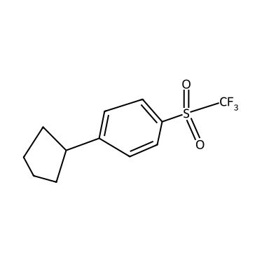 O=S(=O)(c1ccc(C2CCCC2)cc1)C(F)(F)F